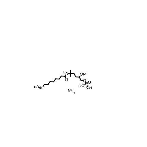 CCCCCCCCCCCCCCCCCC(=O)NC(C)(C)CCC(O)COP(=O)(O)O.N